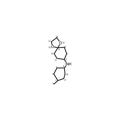 CC1CCC(NC2CCC3(CC2)OCCO3)CC1